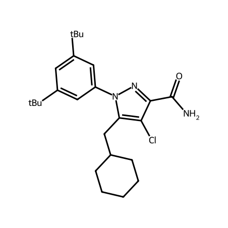 CC(C)(C)c1cc(-n2nc(C(N)=O)c(Cl)c2CC2CCCCC2)cc(C(C)(C)C)c1